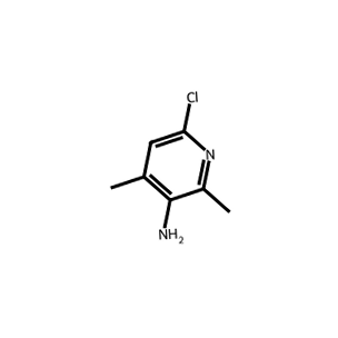 Cc1cc(Cl)nc(C)c1N